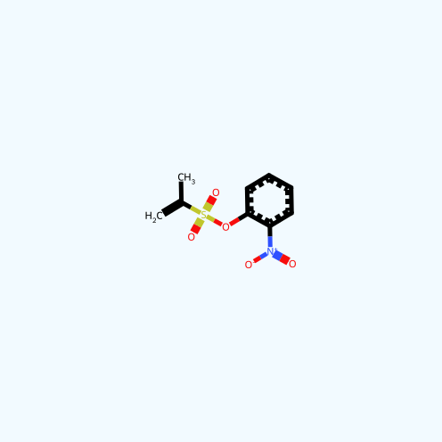 C=C(C)S(=O)(=O)Oc1ccccc1[N+](=O)[O-]